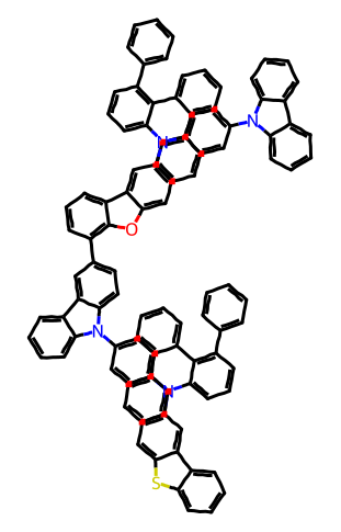 c1ccc(-c2ccccc2-c2c(-c3ccccc3)cccc2N(c2ccc(-n3c4ccccc4c4ccccc43)cc2)c2ccc3oc4c(-c5ccc6c(c5)c5ccccc5n6-c5ccc(N(c6ccc7sc8ccccc8c7c6)c6cccc(-c7ccccc7)c6-c6ccccc6-c6ccccc6)cc5)cccc4c3c2)cc1